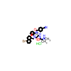 CNC(C)C(=O)NC1CN(C(=O)c2ccc(C#N)cc2)c2ccccc2N(Cc2c(OC)ccc3c(Br)cccc23)C1=O.Cl